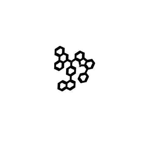 c1ccc(-c2cccc3c2sc2c(N(c4ccc(-c5cccc6ccccc56)cc4)c4cc5ccccc5c5ccccc45)cccc23)cc1